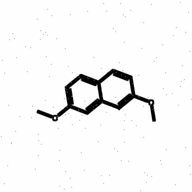 COc1[c]c2cc(OC)ccc2cc1